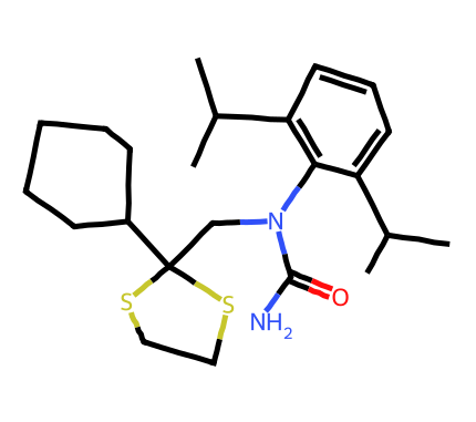 CC(C)c1cccc(C(C)C)c1N(CC1(C2CCCCC2)SCCS1)C(N)=O